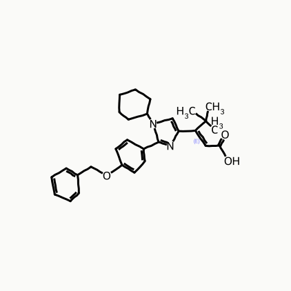 CC(C)(C)/C(=C\C(=O)O)c1cn(C2CCCCC2)c(-c2ccc(OCc3ccccc3)cc2)n1